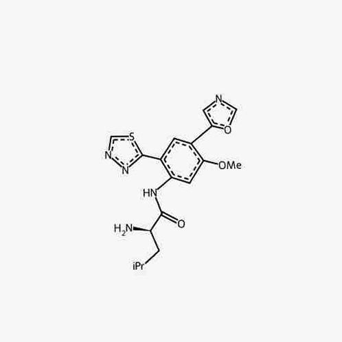 COc1cc(NC(=O)[C@H](N)CC(C)C)c(-c2nncs2)cc1-c1cnco1